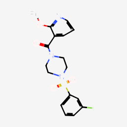 CCOc1ncccc1C(=O)N1CCN(S(=O)(=O)c2cccc(F)c2)CC1